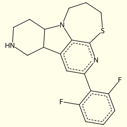 Fc1cccc(F)c1-c1cc2c3c(n1)SCCCN3C1CCNCC21